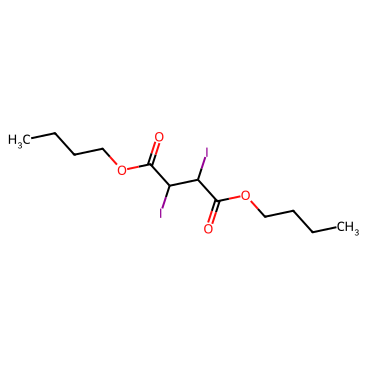 CCCCOC(=O)C(I)C(I)C(=O)OCCCC